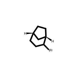 CC(C)C1CC[C@@H]2CC[C@H]1C2